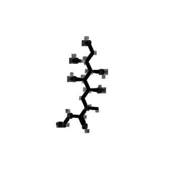 CN(C[C@H](O)[C@@H](O)[C@H](O)[C@H](O)CO)C(=O)OC(C)(C)C